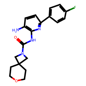 Nc1ccc(-c2ccc(F)cc2)nc1NC(=O)N1CC2(CCOCC2)C1